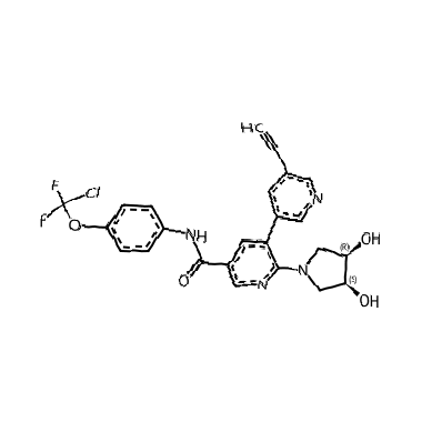 C#Cc1cncc(-c2cc(C(=O)Nc3ccc(OC(F)(F)Cl)cc3)cnc2N2C[C@@H](O)[C@@H](O)C2)c1